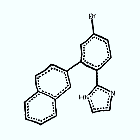 Brc1ccc(-c2ncc[nH]2)c(-c2ccc3ccccc3c2)c1